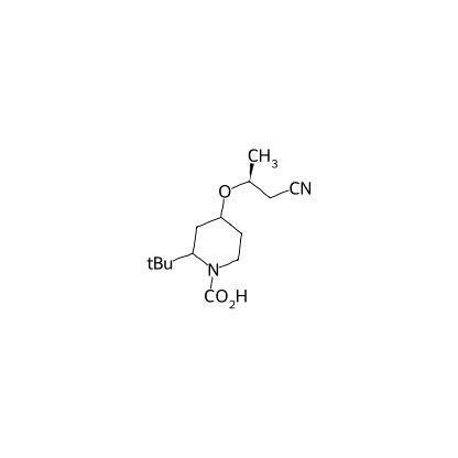 C[C@@H](CC#N)OC1CCN(C(=O)O)C(C(C)(C)C)C1